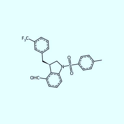 Cc1ccc(S(=O)(=O)N2C[C@H](Cc3cccc(C(F)(F)F)c3)c3c(C=O)cccc32)cc1